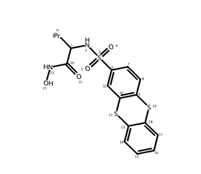 CC(C)C(NS(=O)(=O)c1ccc2c(c1)Sc1ccccc1S2)C(=O)NO